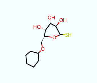 O[C@@H]1[C@H](O)[C@@H](O)C(S)O[C@@H]1COC1CCCCC1